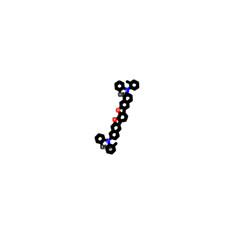 COc1ccccc1N(c1ccc2cc3c(cc2c1)oc1c3ccc2c3cc4ccc(N(c5ccccc5C)c5ccccc5OC)cc4cc3oc21)c1ccccc1C